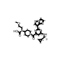 COCCN(C(=O)O)C1CCN(C(=O)c2cc(N[C@H](C)C3CC3)nc(-c3cnn4ccsc34)n2)CC1